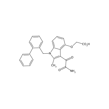 Cc1c(C(=O)C(N)=O)c2c(OCC(=O)O)cccc2n1Cc1ccccc1-c1ccccc1